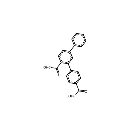 O=CC(=O)c1ccc(-c2cc(-c3ccccc3)ccc2C(=O)C=O)cc1